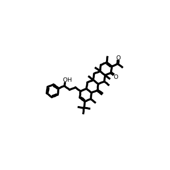 C=C1C2C(C)C(C(C)(C)C)=CC(CCC(O)c3ccccc3)C2CC2(C)CC3(C)CC(C)=C(C(C)=O)C(=O)C3(C)C(C)C12